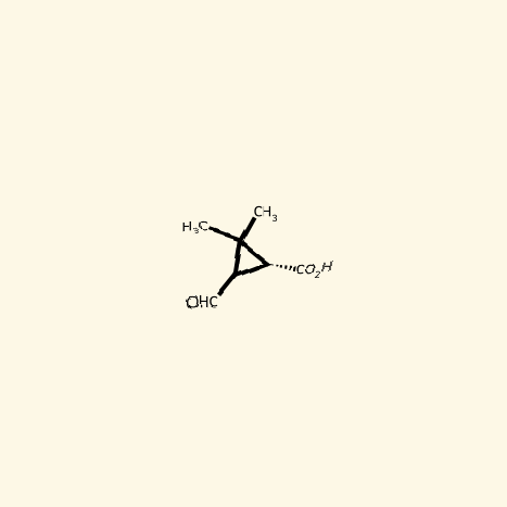 CC1(C)C(C=O)[C@H]1C(=O)O